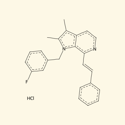 Cc1c(C)n(Cc2cccc(F)c2)c2c(C=Cc3ccccc3)nccc12.Cl